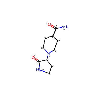 NC(=O)C1CCN(C2CCNC2=O)CC1